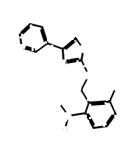 Cc1cccc(N(C)N)c1COc1nc(-c2cccnc2)cs1